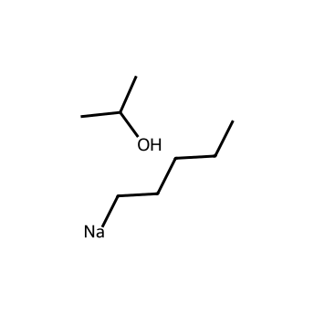 CC(C)O.CCCC[CH2][Na]